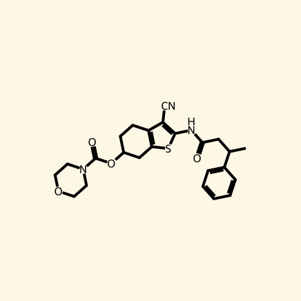 CC(CC(=O)Nc1sc2c(c1C#N)CCC(OC(=O)N1CCOCC1)C2)c1ccccc1